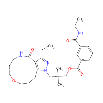 CCNC(=O)c1cccc(C(=O)OCC(C)(C)Cn2nc(CC)c3c2CCCOCCCNC3=O)c1